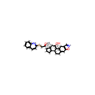 C[C@]12Cc3cnoc3C=C1CCC1C2[C@@H](O)C[C@@]2(C)C1CC[C@@H]2C(=O)CSc1ccc2ccccc2n1